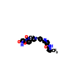 Cn1c(=O)n(C2CCC(=O)NC2=O)c2cccc(C3CCN(C[C@H]4CC[C@H](c5cc6cc(NC(=O)c7cccc(C(F)(F)F)n7)ccn6n5)CC4)CC3)c21